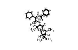 C[C@@H]1[C@@H]2[C@H](CN1C(=O)[C@@H](NC(=O)C(NC(=O)c1cnccn1)C1CCCCC1)C(C)(C)C)C2(C)C